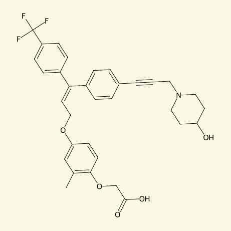 Cc1cc(OC/C=C(\c2ccc(C#CCN3CCC(O)CC3)cc2)c2ccc(C(F)(F)F)cc2)ccc1OCC(=O)O